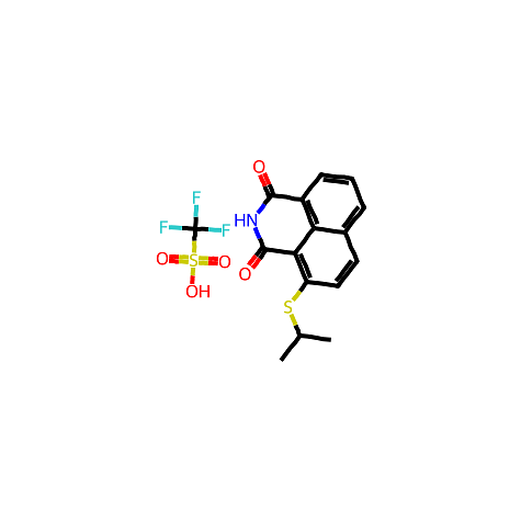 CC(C)Sc1ccc2cccc3c2c1C(=O)NC3=O.O=S(=O)(O)C(F)(F)F